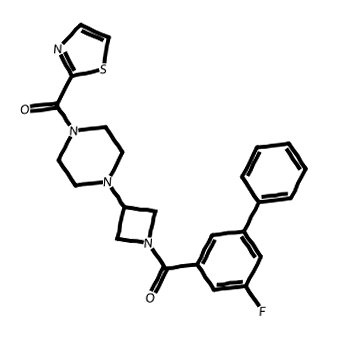 O=C(c1cc(F)cc(-c2ccccc2)c1)N1CC(N2CCN(C(=O)c3nccs3)CC2)C1